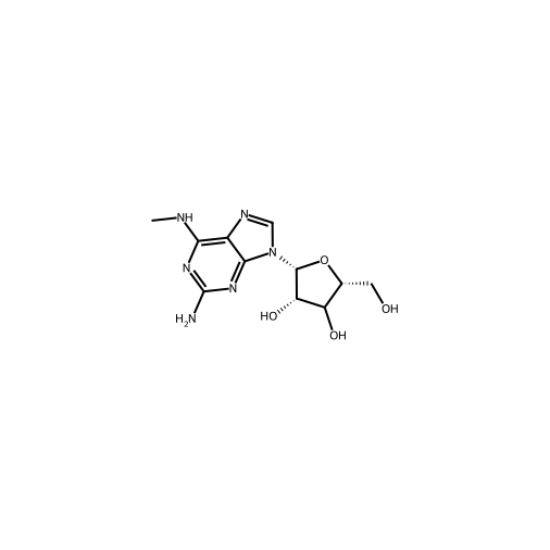 CNc1nc(N)nc2c1ncn2[C@@H]1O[C@H](CO)C(O)[C@@H]1O